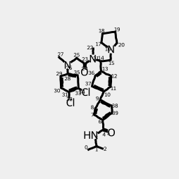 CC(C)NC(=O)c1ccc(-c2ccc(C(CN3CCCC3)N(C)C(=O)CN(C)c3ccc(Cl)c(Cl)c3)cc2)cc1